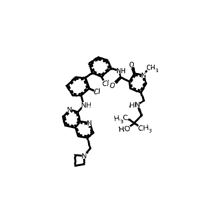 Cn1cc(CNCC(C)(C)O)cc(C(=O)Nc2cccc(-c3cccc(Nc4nccc5cc(CN6CCC6)cnc45)c3Cl)c2Cl)c1=O